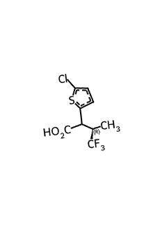 C[C@H](C(C(=O)O)c1ccc(Cl)s1)C(F)(F)F